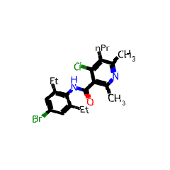 CCCc1c(C)nc(C)c(C(=O)Nc2c(CC)cc(Br)cc2CC)c1Cl